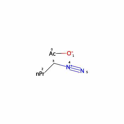 CC(=O)[O-].CCCC[N+]#N